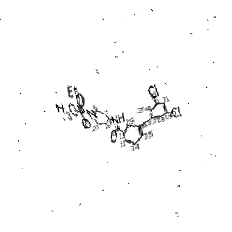 CCOP(C)(=O)N1CCC(NC(=O)c2cccc(-c3cc(Cl)cc(Cl)c3)c2)CC1